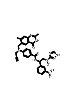 C#CCN(Cc1cc2c(=O)[nH]c(C)nc2cc1C)c1ccc(C(=O)NC(C[S+]([O-])c2nc[nH]n2)c2cccc([N+](=O)[O-])c2)cc1